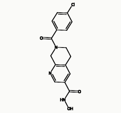 O=C(NO)c1cnc2c(c1)CCN(C(=O)c1ccc(Cl)cc1)C2